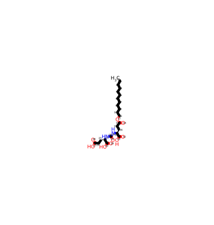 CCCCCCCCCCCCOC(=O)CC[C@H](NC(=O)N[C@@H](CCC(=O)O)C(=O)O)C(=O)O